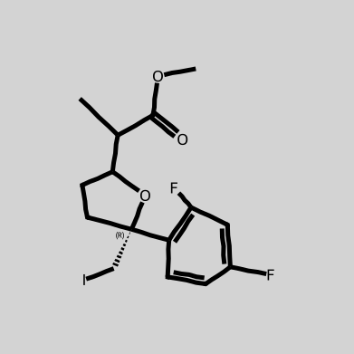 COC(=O)C(C)C1CC[C@](CI)(c2ccc(F)cc2F)O1